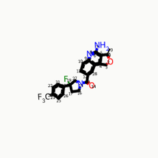 C[C@H]1OCc2c1c(N)nc1ccc(C(=O)N3CC[C@](F)(c4ccc(C(F)(F)F)cc4)C3)cc21